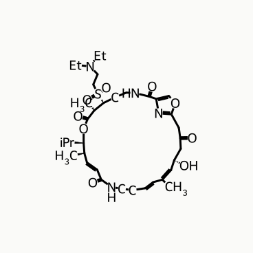 CCN(CC)CCS(=O)(=O)[C@@H]1CCNC(=O)c2coc(n2)CC(=O)C[C@H](O)/C=C(C)/C=C/CCNC(=O)/C=C/[C@@H](C)[C@@H](C(C)C)OC(=O)[C@@H]1C